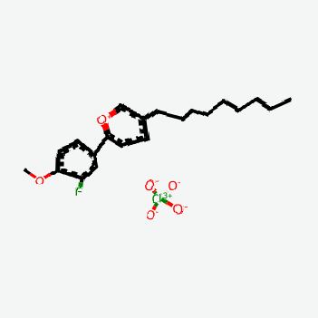 CCCCCCCCCc1ccc(-c2ccc(OC)c(F)c2)[o+]c1.[O-][Cl+3]([O-])([O-])[O-]